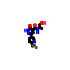 CC(CO)NC(=O)c1cc(-c2ccc(C(F)(F)F)nc2)n[nH]c1=O